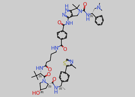 Cc1ncsc1-c1ccc([C@H](C)NC(=O)[C@@H]2C[C@@H](O)CN2C(=O)[C@@H](NC(=O)CCCCNC(=O)c2ccc(C(=O)Nc3n[nH]c4c3CN(C(=O)N[C@H](CN(C)C)c3ccccc3)C4(C)C)cc2)C(C)(C)C)cc1